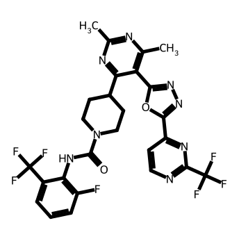 Cc1nc(C)c(-c2nnc(-c3ccnc(C(F)(F)F)n3)o2)c(C2CCN(C(=O)Nc3c(F)cccc3C(F)(F)F)CC2)n1